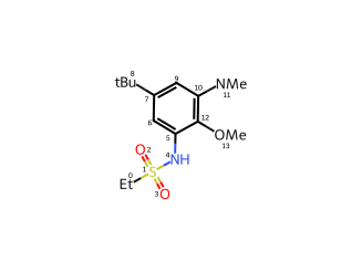 CCS(=O)(=O)Nc1cc(C(C)(C)C)cc(NC)c1OC